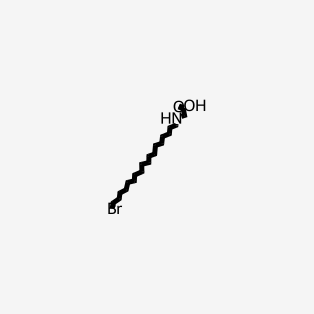 O=C(O)CNCCCCCCCCCCCCCCCCCCBr